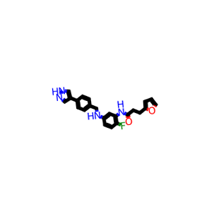 O=C(CCc1ccco1)Nc1cc(NCc2ccc(-c3cn[nH]c3)cc2)ccc1F